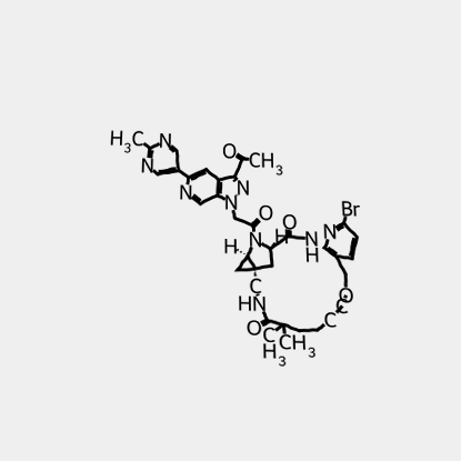 CC(=O)c1nn(CC(=O)N2[C@H]3C[C@@]4(CNC(=O)C(C)(C)CCCCOCc5ccc(Br)nc5NC3=O)C[C@@H]24)c2cnc(-c3cnc(C)nc3)cc12